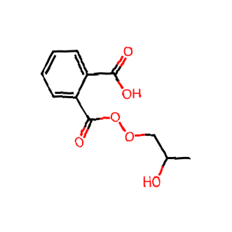 CC(O)COOC(=O)c1ccccc1C(=O)O